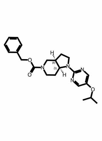 CC(C)Oc1cnc(N2CC[C@@H]3CN(C(=O)OCc4ccccc4)CC[C@@H]32)nc1